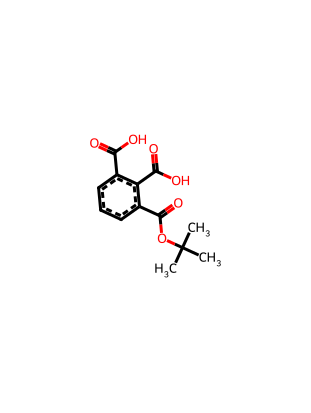 CC(C)(C)OC(=O)c1cccc(C(=O)O)c1C(=O)O